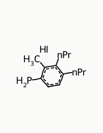 CCCc1ccc(P)c(C)c1CCC.I